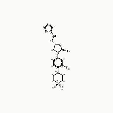 O=C1O[C@@H](CNc2ccoc2)CN1c1ccc(N2CCS(=O)(=O)CC2)c(F)c1